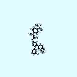 Cc1cccc(-n2nc(CC(=O)Nc3ccc(S(C)(=O)=O)cc3)cc2-c2ccc3ncnn3c2)n1